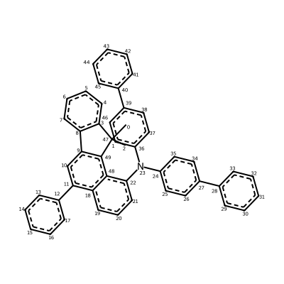 CC1(C)c2ccccc2-c2cc(-c3ccccc3)c3cccc(N(c4ccc(-c5ccccc5)cc4)c4ccc(-c5ccccc5)cc4)c3c21